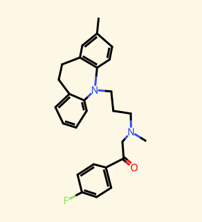 Cc1ccc2c(c1)CCc1ccccc1N2CCCN(C)CC(=O)c1ccc(F)cc1